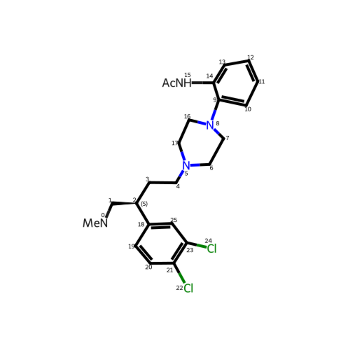 CNC[C@@H](CCN1CCN(c2ccccc2NC(C)=O)CC1)c1ccc(Cl)c(Cl)c1